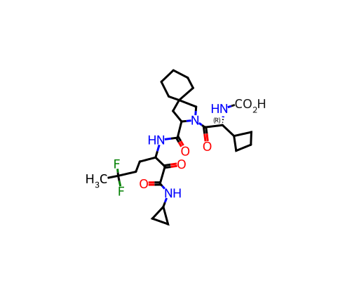 CC(F)(F)CCC(NC(=O)C1CC2(CCCCC2)CN1C(=O)[C@H](NC(=O)O)C1CCC1)C(=O)C(=O)NC1CC1